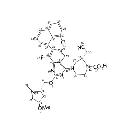 CO[C@@H]1C[C@@H](COc2nc(N3CCN(C(=O)O)[C@@H](CC#N)C3)c3cnc(-c4cncc5cccc(Cl)c45)c(F)c3n2)N(C)C1